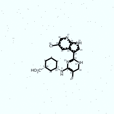 O=C(O)[C@@H]1CCC[C@H](NC2=C(F)CNC(c3c[nH]c4ncc(Cl)cc34)=N2)C1